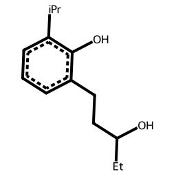 CCC(O)CCc1cccc(C(C)C)c1O